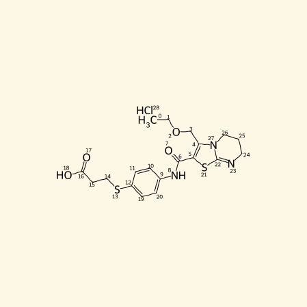 CCOCC1=C(C(=O)Nc2ccc(SCCC(=O)O)cc2)SC2=NCCCN21.Cl